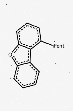 CCCC(C)c1cccc2oc3ccccc3c12